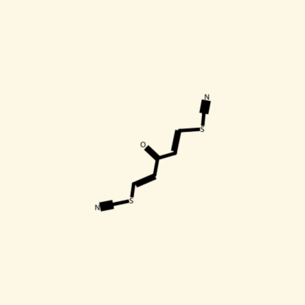 N#CS/C=C/C(=O)/C=C/SC#N